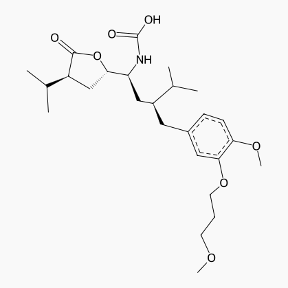 COCCCOc1cc(C[C@@H](C[C@H](NC(=O)O)[C@@H]2C[C@@H](C(C)C)C(=O)O2)C(C)C)ccc1OC